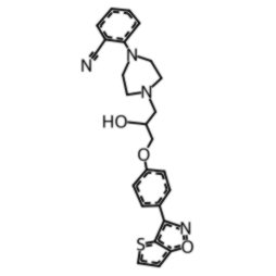 N#Cc1ccccc1N1CCN(CC(O)COc2ccc(-c3noc4ccsc34)cc2)CC1